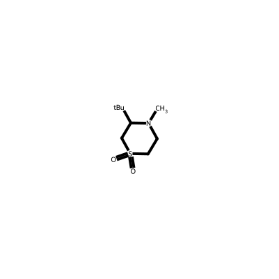 CN1CCS(=O)(=O)CC1C(C)(C)C